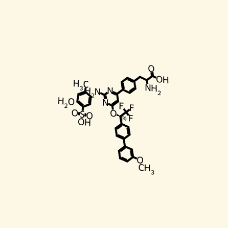 COc1cccc(-c2ccc([C@@H](Oc3cc(-c4ccc(CC(N)C(=O)O)cc4)nc(N)n3)C(F)(F)F)cc2)c1.Cc1ccc(S(=O)(=O)O)cc1.O